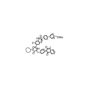 COCc1ncc(-c2ccc(S(=O)(=O)Nc3cc(F)c(C(=O)N[C@@H](Cc4ccc(-n5c(=O)c6ccncc6n(C)c5=O)nc4)C(=O)OC4CCCCCC4)cc3F)cc2)cn1